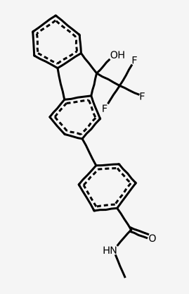 CNC(=O)c1ccc(-c2ccc3c(c2)C(O)(C(F)(F)F)c2ccccc2-3)cc1